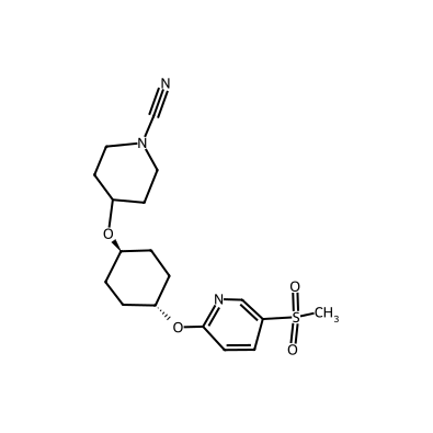 CS(=O)(=O)c1ccc(O[C@H]2CC[C@H](OC3CCN(C#N)CC3)CC2)nc1